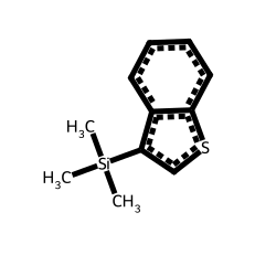 C[Si](C)(C)c1csc2ccccc12